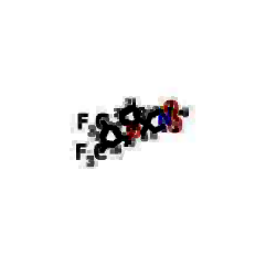 CS(=O)(=O)N1CCC(COCc2cc(C(F)(F)F)cc(C(F)(F)F)c2)(c2ccccc2)CC1